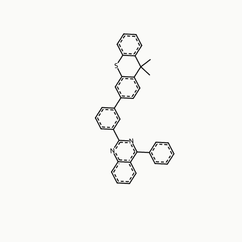 CC1(C)c2ccccc2Sc2cc(-c3cccc(-c4nc(-c5ccccc5)c5ccccc5n4)c3)ccc21